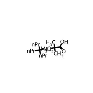 CC(C)(C)C(=O)O.CCCC(N)(CCC)CCC